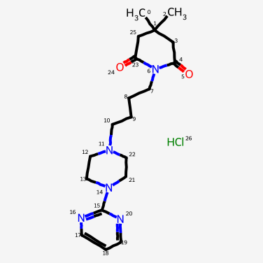 CC1(C)CC(=O)N(CCCCN2CCN(c3ncccn3)CC2)C(=O)C1.Cl